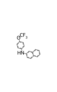 FC(F)(F)Oc1ccc(Nc2ccc3ccccc3c2)cc1